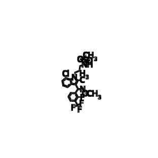 CON=C(c1cccc(C(F)(F)F)c1F)c1c(C)n(CCCNS(C)(=O)=O)c2c(Cl)cccc12